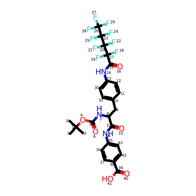 CC(C)(C)OC(=O)NC(Cc1ccc(NC(=O)C(F)(F)C(F)(F)C(F)(F)C(F)(F)F)cc1)C(=O)Nc1ccc(C(=O)O)cc1